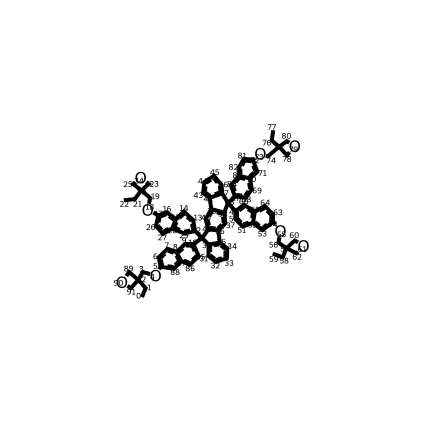 CCC1(COc2ccc3cc(C4(c5ccc6cc(OCC7(CC)COC7)ccc6c5)c5ccccc5-c5cc6c(cc54)-c4ccccc4C6(c4ccc5cc(OCC6(CC)COC6)ccc5c4)c4ccc5cc(OCC6(CC)COC6)ccc5c4)ccc3c2)COC1